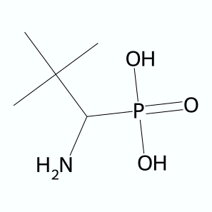 CC(C)(C)C(N)P(=O)(O)O